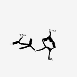 COC(=O)C(C)(C)Oc1cc(OC)ccc1[N+](=O)[O-]